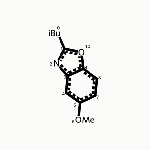 CCC(C)c1nc2cc(OC)ccc2o1